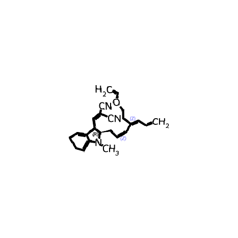 C=C/C=C(\C=C/C[C@@H]1C(C=C(C#N)C#N)C2=CCCC=C2N1C)CCOC=C